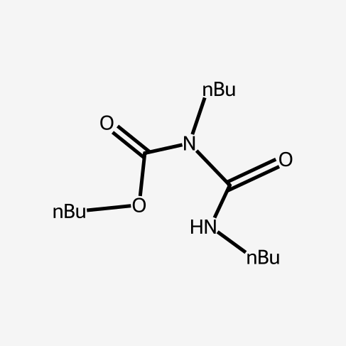 CCCCNC(=O)N(CCCC)C(=O)OCCCC